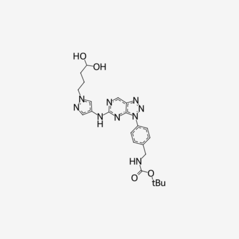 CC(C)(C)OC(=O)NCc1ccc(-n2nnc3cnc(Nc4cnn(CCCC(O)O)c4)nc32)cc1